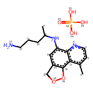 Cc1ccnc2c(NC(C)CCCN)cc3c(c12)OOC3.O=P(O)(O)O